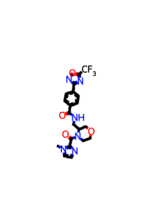 Cn1ccnc1C(=O)N1CCOCC1CNC(=O)c1ccc(-c2noc(C(F)(F)F)n2)cc1